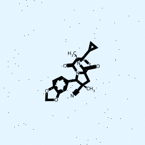 C[C@]1(C#N)CC23SS[C@](C)(C(=O)N2C1c1ccc2c(c1)OCO2)N(C1CC1)C3=O